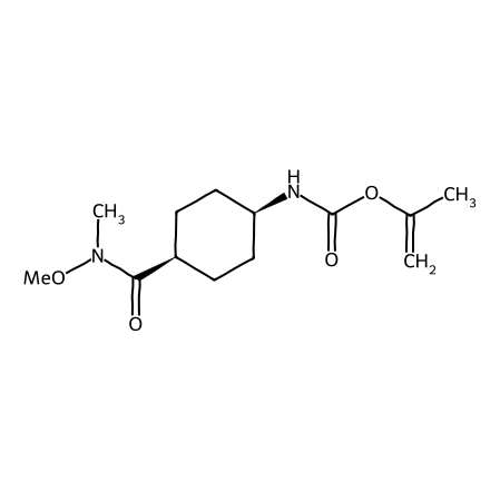 C=C(C)OC(=O)N[C@H]1CC[C@@H](C(=O)N(C)OC)CC1